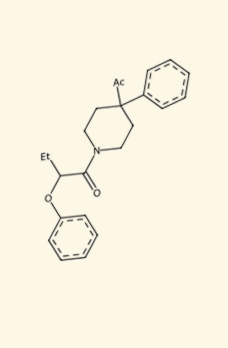 CCC(Oc1ccccc1)C(=O)N1CCC(C(C)=O)(c2ccccc2)CC1